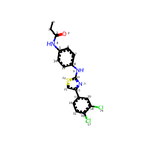 CCC(=O)Nc1ccc(Nc2nc(-c3ccc(Cl)c(Cl)c3)cs2)cc1